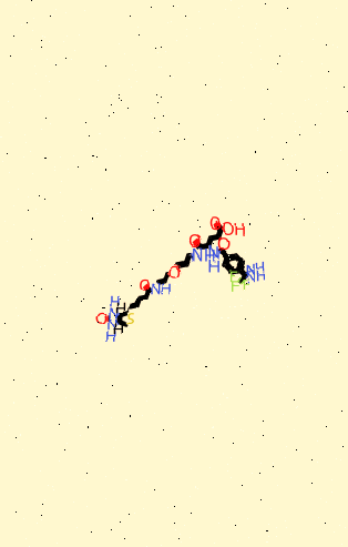 O=C(O)CCC(NC(=O)c1ccc(C2(C(F)(F)F)NN2)cc1)C(=O)NCCCOCCCNC(=O)CCCC[C@@H]1SC[C@@H]2NC(=O)N[C@@H]21